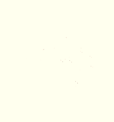 Nc1nnnn1NC(=O)c1ccccc1